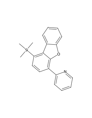 C[Si](C)(C)c1ccc(-c2ccccn2)c2oc3ccccc3c12